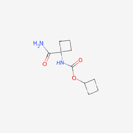 NC(=O)C1(NC(=O)OC2CCC2)CCC1